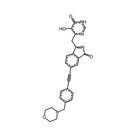 O=C1N=C(Cc2nc[nH]c(=O)c2O)c2ccc(C#Cc3ccc(CN4CCOCC4)cc3)cc21